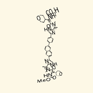 COC(=O)N[C@H](C(=O)N(C)[C@@H](C)c1nc(-c2ccc3cc(-c4ccc(-c5c[nH]c([C@H](C)N(C)C(=O)[C@@H](NC(=O)O)C6CCOCC6)n5)cc4)ccc3c2)c[nH]1)C1CCOCC1